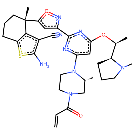 C=CC(=O)N1CCN(c2cc(O[C@@H](C)[C@@H]3CCCN3C)nc(-c3cc([C@@]4(C)CCCc5sc(N)c(C#N)c54)on3)n2)[C@H](C)C1